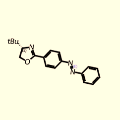 CC(C)(C)[C@H]1COC(c2ccc(/N=N/c3ccccc3)cc2)=N1